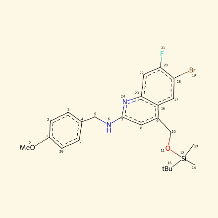 COc1ccc(CNc2cc(CO[Si](C)(C)C(C)(C)C)c3cc(Br)c(F)cc3n2)cc1